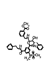 COC(=O)c1cccc(CNC[C@@H](O)[C@H](Cc2ccccc2)NC(=O)c2cc(C(=O)NCCc3ccccc3)cc(N(C)S(C)(=O)=O)c2)c1